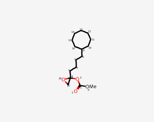 COC(=O)OC1(CCCCC2CCCCCCC2)CO1